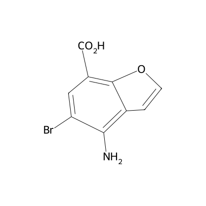 Nc1c(Br)cc(C(=O)O)c2occc12